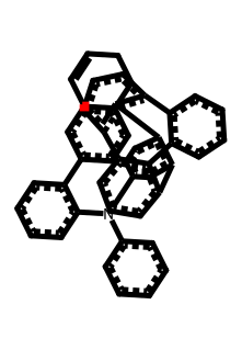 C1=Cc2cc(-c3ccccc3N(c3ccccc3)c3ccc4c(c3)-c3cccc5c3-c3ccccc3-c3cccc-5c3-4)ccc2CC1